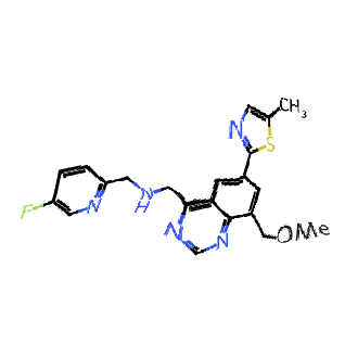 COCc1cc(-c2ncc(C)s2)cc2c(CNCc3ccc(F)cn3)ncnc12